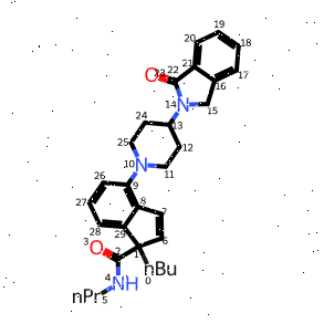 CCCCC1(C(=O)NCCC)C=Cc2c(N3CCC(N4Cc5ccccc5C4=O)CC3)cccc21